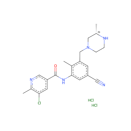 Cc1ncc(C(=O)Nc2cc(C#N)cc(CN3CCN[C@@H](C)C3)c2C)cc1Cl.Cl.Cl